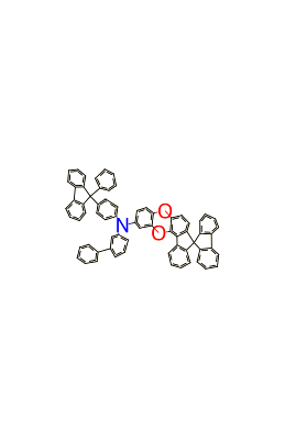 c1ccc(-c2cccc(N(c3ccc(C4(c5ccccc5)c5ccccc5-c5ccccc54)cc3)c3ccc4c(c3)Oc3c(ccc5c3-c3ccccc3C53c5ccccc5-c5ccccc53)O4)c2)cc1